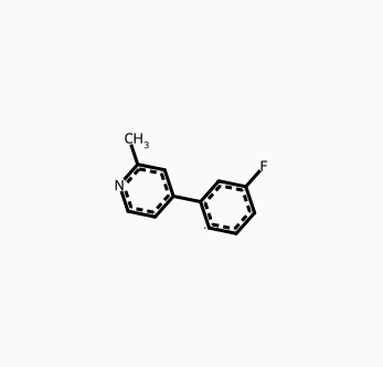 Cc1cc(-c2[c]ccc(F)c2)ccn1